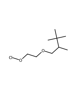 CC(COCCOCl)C(C)(C)C